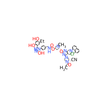 C=CC(=O)N1CCN(c2nc(OC[C@@H]3C[C@@H](OC(=O)NCc4ccc(-n5c(O)nnc5-c5cc(CC)c(O)cc5O)cc4)CN3C)nc3c2CCN(c2cccc4cccc(Cl)c24)C3)C[C@@H]1CC#N